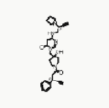 C#C[C@H](CC(=O)N1CCC(O)(Cn2cnc(NC[C@H](C#C)N3CCCC3)cc2=O)CC1)c1ccccc1